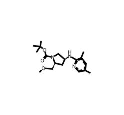 COC[C@@H]1C[C@H](Nc2ncc(C)cc2C)CN1C(=O)OC(C)(C)C